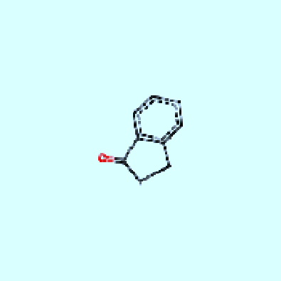 O=C1[CH]Cc2ccccc21